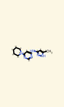 Cc1cc(Nc2cc(N3CCCCC3)ncn2)n[nH]1